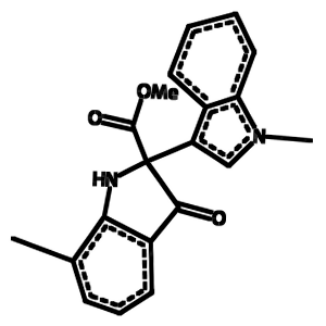 COC(=O)C1(c2cn(C)c3ccccc23)Nc2c(C)cccc2C1=O